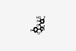 Cc1nn(C)c(C(=O)c2ccc(F)c(O)c2F)c1-c1ccc(F)cc1Cl